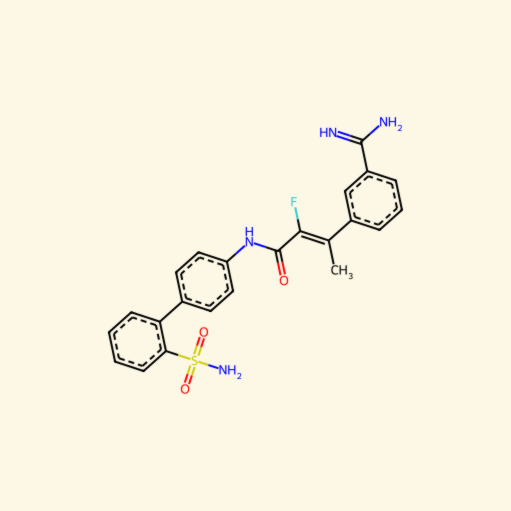 C/C(=C(/F)C(=O)Nc1ccc(-c2ccccc2S(N)(=O)=O)cc1)c1cccc(C(=N)N)c1